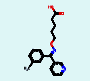 Cc1cccc(/C(=N\OCCCCC(=O)O)c2cccnc2)c1